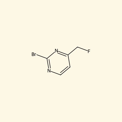 FCc1ccnc(Br)n1